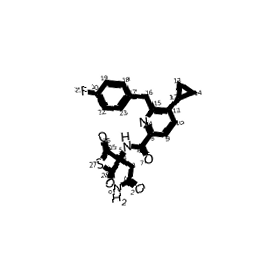 NC(=O)CC1(NC(=O)c2ccc(C3CC3)c(Cc3ccc(F)cc3)n2)C(=O)SC1=O